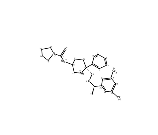 C[C@@H](OC[C@@]1(c2ccccc2)CCC(NC(=O)N2CCCC2)CN1)c1cc(C(F)(F)F)cc(C(F)(F)F)c1